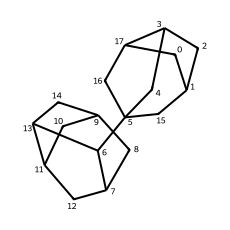 C1C2CC3CC(C4C5CC6CC(C5)C4C6)(C2)CC13